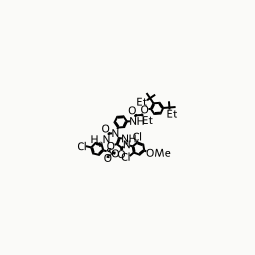 CCC(Oc1ccc(C(C)(C)CC)cc1C(C)(C)CC)C(=O)Nc1cccc(N(C(N)=O)c2[nH]n(-c3c(Cl)cc(OC)cc3Cl)c(=O)c2OS(=O)(=O)c2ccc(Cl)cc2)c1